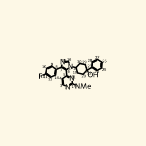 CNc1nccc(-c2c(-c3ccc(F)cc3)ncn2C2CCC(O)(c3ccccc3)CC2)n1